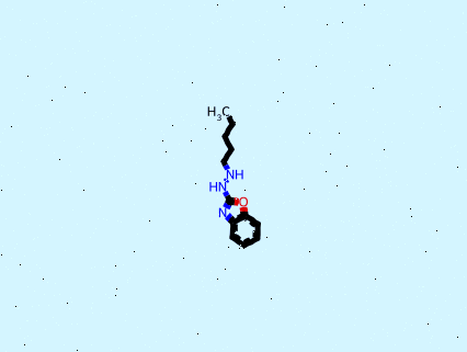 CCCCCNNc1nc2ccccc2o1